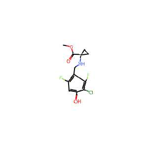 COC(=O)C1(NCc2c(F)cc(O)c(Cl)c2F)CC1